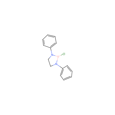 ClB1N(c2ccccc2)CCN1c1ccccc1